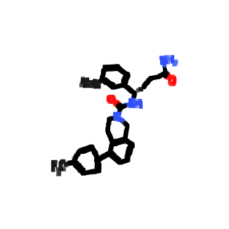 CNc1cccc([C@H](CCC(N)=O)NC(=O)N2CCc3c(cccc3-c3ccc(C(F)(F)F)cc3)C2)c1